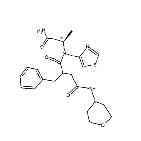 C[C@H](C(N)=O)N(C(=O)C(CC(=O)NN1CCOCC1)Cc1ccccc1)c1cscn1